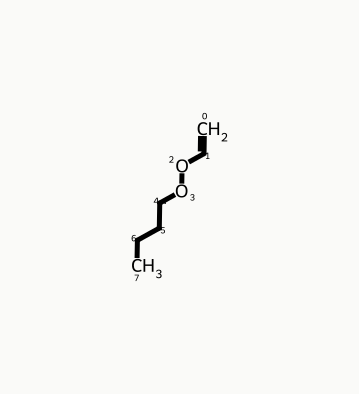 C=COO[CH]CCC